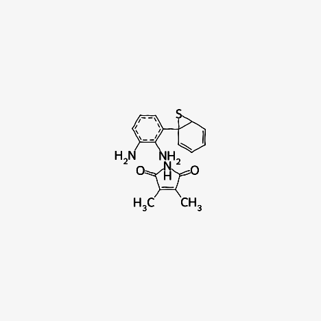 CC1=C(C)C(=O)NC1=O.Nc1cccc(C23C=CC=CC2S3)c1N